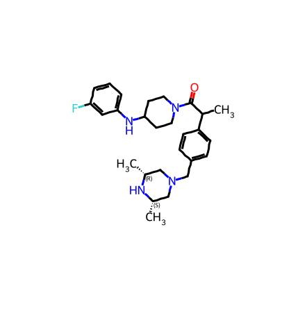 CC(C(=O)N1CCC(Nc2cccc(F)c2)CC1)c1ccc(CN2C[C@@H](C)N[C@@H](C)C2)cc1